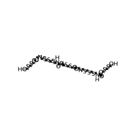 O=C(NCSCSCSC/N=C/OOCSCSCOC(=O)NCSCSCSC/N=C\OOCSCSCO)OCSCSCO